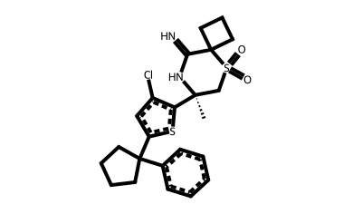 C[C@@]1(c2sc(C3(c4ccccc4)CCCC3)cc2Cl)CS(=O)(=O)C2(CCC2)C(=N)N1